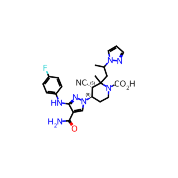 CC(CC1(C)[C@@H](C#N)[C@H](n2cc(C(N)=O)c(Nc3ccc(F)cc3)n2)CCN1C(=O)O)n1cccn1